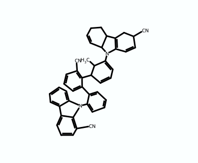 CC1C(N2C3=C(CC(C#N)C=C3)C3CCC=CC32)=CC=CC1c1c(C#N)cccc1-c1ccccc1-n1c2ccccc2c2cccc(C#N)c21